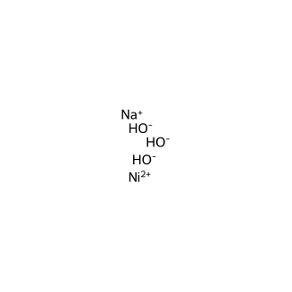 [Na+].[Ni+2].[OH-].[OH-].[OH-]